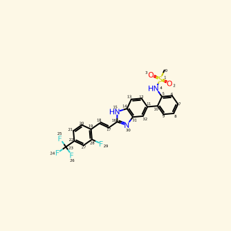 CS(=O)(=O)Nc1ccccc1-c1ccc2[nH]c(C=Cc3ccc(C(F)(F)F)cc3F)nc2c1